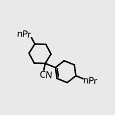 CCCC1CC=C(C2(C#N)CCC(CCC)CC2)CC1